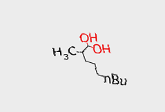 CCCCCCCC(C)C(O)O